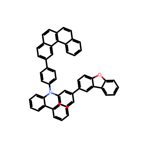 c1ccc(-c2ccccc2N(c2ccc(-c3ccc4ccc5ccc6ccccc6c5c4c3)cc2)c2cccc(-c3ccc4oc5ccccc5c4c3)c2)cc1